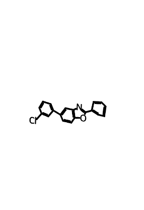 Clc1cccc(-c2ccc3oc(-c4ccccc4)nc3c2)c1